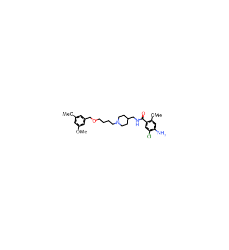 COc1cc(COCCCCN2CCC(CNC(=O)c3cc(Cl)c(N)cc3OC)CC2)cc(OC)c1